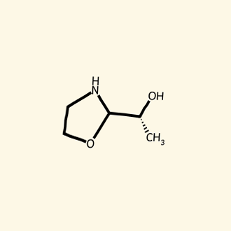 C[C@@H](O)C1NCCO1